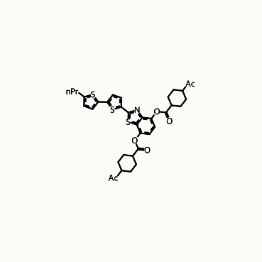 CCCc1ccc(-c2ccc(-c3nc4c(OC(=O)C5CCC(C(C)=O)CC5)ccc(OC(=O)C5CCC(C(C)=O)CC5)c4s3)s2)s1